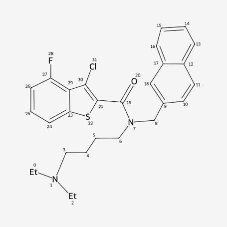 CCN(CC)CCCCN(Cc1ccc2ccccc2c1)C(=O)c1sc2cccc(F)c2c1Cl